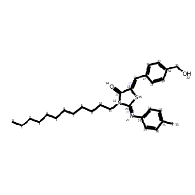 CCCCCCCCCCCCN1C(=O)/C(=C/c2ccc(CO)cc2)S/C1=N\c1ccc(F)cc1